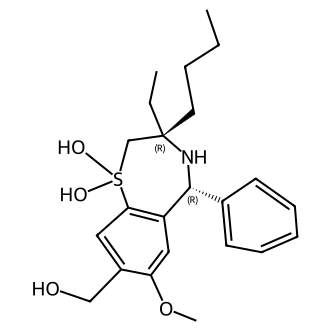 CCCC[C@]1(CC)CS(O)(O)c2cc(CO)c(OC)cc2[C@@H](c2ccccc2)N1